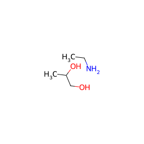 CC(O)CO.CCN